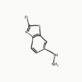 CCc1nc2ccc(NN)cc2s1